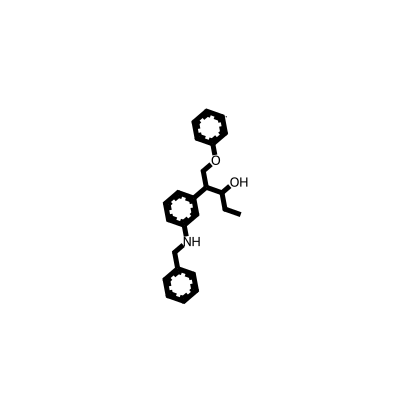 CCC(O)C(COc1c[c]ccc1)c1cccc(NCc2ccccc2)c1